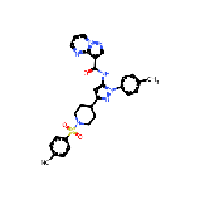 Cc1ccc(-n2nc(C3CCN(S(=O)(=O)c4ccc(C#N)cc4)CC3)cc2NC(=O)c2cnn3cccnc23)cc1